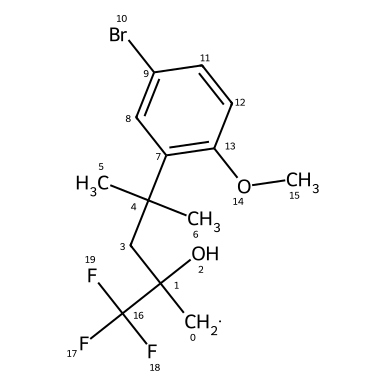 [CH2]C(O)(CC(C)(C)c1cc(Br)ccc1OC)C(F)(F)F